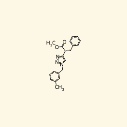 COC(=O)C(=Cc1ccccc1)c1cn(Cc2cccc(C)c2)nn1